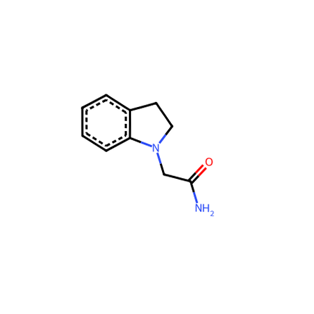 NC(=O)CN1CCc2ccccc21